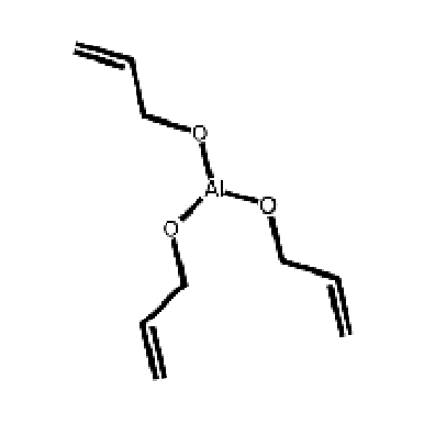 C=CC[O][Al]([O]CC=C)[O]CC=C